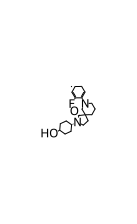 O=C1N([C@H]2CC[C@H](O)CC2)CCC12CCCN(C1=CC[CH]C=C1F)C2